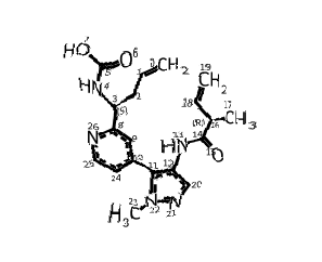 C=CC[C@H](NC(=O)O)c1cc(-c2c(NC(=O)[C@H](C)C=C)cnn2C)ccn1